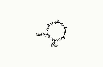 CSCSC1SCSC(C)SCSC(C)SCSC(C)SCSC(C)SCSC(SCSC)SCS1